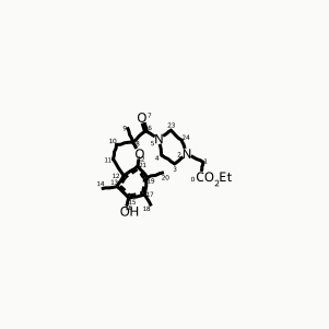 CCOC(=O)CN1CCN(C(=O)C2(C)CCc3c(C)c(O)c(C)c(C)c3O2)CC1